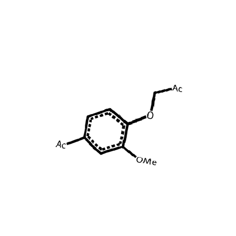 COc1cc(C(C)=O)ccc1OCC(C)=O